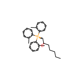 CCCCCC(=O)C=P(c1ccccc1C)(c1ccccc1C)c1ccccc1C